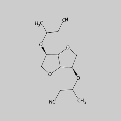 CC(CC#N)O[C@@H]1COC2C1OC[C@H]2OC(C)CC#N